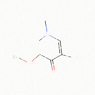 CN(C)C=C(C(=O)O)C(=O)COC(C)(C)C